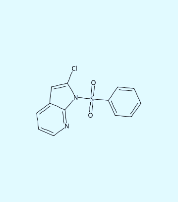 O=S(=O)(c1ccccc1)n1c(Cl)cc2cccnc21